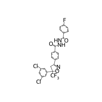 O=C(NNC(=O)c1ccc(C2=NOC(c3cc(Cl)cc(Cl)c3)(C(F)(F)F)C2)cc1)c1ccc(F)cc1